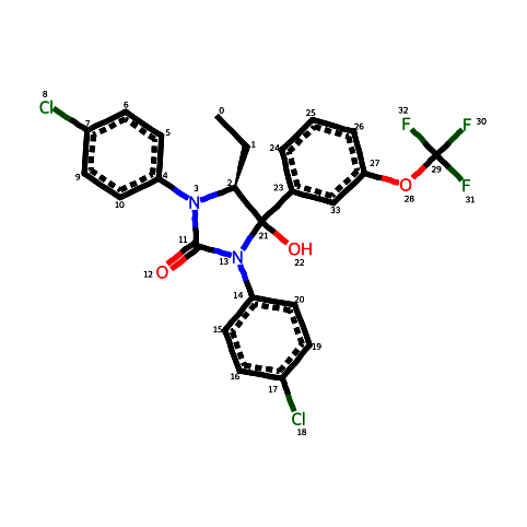 CC[C@@H]1N(c2ccc(Cl)cc2)C(=O)N(c2ccc(Cl)cc2)C1(O)c1cccc(OC(F)(F)F)c1